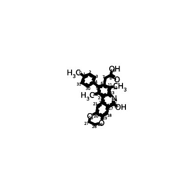 Cc1ccc(-c2c(CC(=O)O)c(C)c3nc(O)c4cc5c(cc4c3c2C)OCCO5)cc1